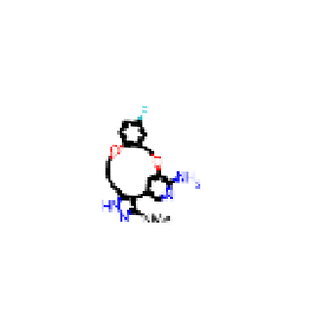 CNc1n[nH]c2c1-c1cnc(N)c(c1)OCc1cc(F)ccc1OCCC2